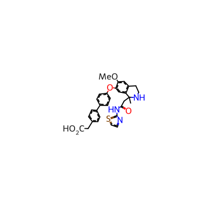 COc1cc2c(cc1Oc1ccc(-c3ccc(CC(=O)O)cc3)cc1)C(C)(CC(=O)Nc1nccs1)NCC2